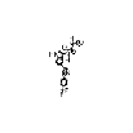 O=C(Nc1c[nH]c2ccc(-c3cnn(-c4ccc(C(F)(F)F)cc4)c3)cc12)C(=O)NC1COC1